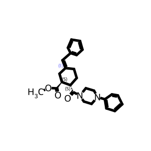 COC(=O)[C@H]1C/C(=C/c2ccccc2)CC[C@@H]1C(=O)N1CCN(c2ccccc2)CC1